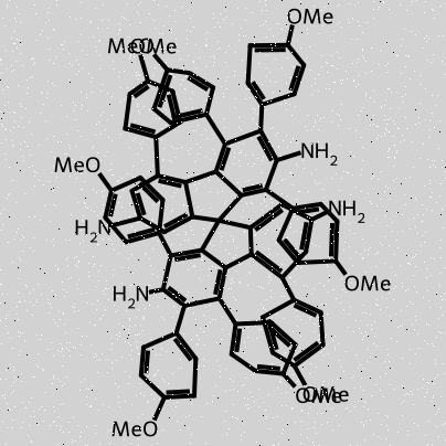 COc1ccc(-c2cc(N)cc3c2-c2c(-c4ccc(OC)cc4)c(-c4ccc(OC)cc4)c(N)c(-c4ccc(OC)cc4)c2C32c3cc(N)cc(-c4ccc(OC)cc4)c3-c3c(-c4ccc(OC)cc4)c(-c4ccc(OC)cc4)c(N)c(-c4ccc(OC)cc4)c32)cc1